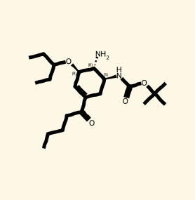 CCCCC(=O)C1=C[C@@H](OC(CC)CC)[C@H](N)[C@@H](NC(=O)OC(C)(C)C)C1